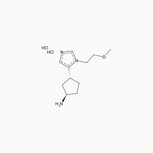 COCCn1cncc1[C@@H]1CC[C@@H](N)C1.Cl.Cl